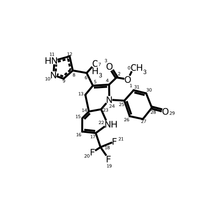 COC(=O)C1=C(C(C)c2cn[nH]c2)CC2=CC=C(C(F)(F)F)NC2N1C1=CCC(=O)C=C1